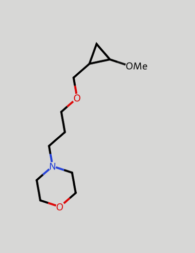 COC1CC1COCCCN1CCOCC1